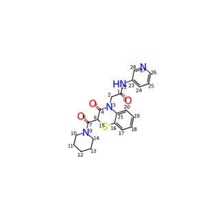 O=C(CN1C(=O)C(C(=O)N2CCCCC2)Sc2ccccc21)Nc1cccnc1